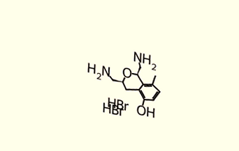 Br.Br.Cc1ccc(O)c2c1[C@H](CN)O[C@H](CN)C2